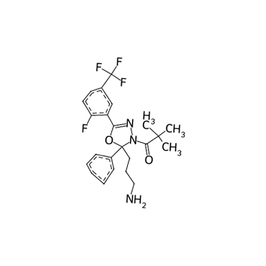 CC(C)(C)C(=O)N1N=C(c2cc(C(F)(F)F)ccc2F)OC1(CCCN)c1ccccc1